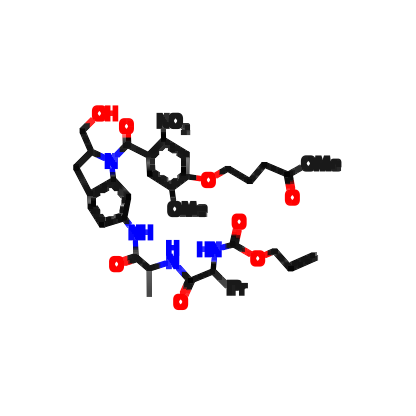 C=CCOC(=O)NC(C(=O)NC(C)C(=O)Nc1ccc2c(c1)N(C(=O)c1cc(OC)c(OCCCC(=O)OC)cc1[N+](=O)[O-])C(CO)C2)C(C)C